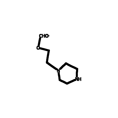 O=[C]OCCN1CCNCC1